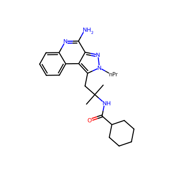 CCCn1nc2c(N)nc3ccccc3c2c1CC(C)(C)NC(=O)C1CCCCC1